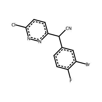 N#CC(c1ccc(F)c(Br)c1)c1ccc(Cl)nn1